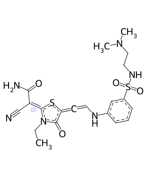 CCn1c(=O)c(=C=CNc2cccc(S(=O)(=O)NCCN(C)C)c2)s/c1=C(/C#N)C(N)=O